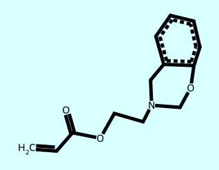 C=CC(=O)OCCN1COc2ccccc2C1